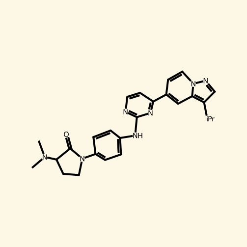 CC(C)c1cnn2ccc(-c3ccnc(Nc4ccc(N5CCC(N(C)C)C5=O)cc4)n3)cc12